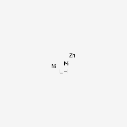 [LiH].[Ni].[Ni].[Zn]